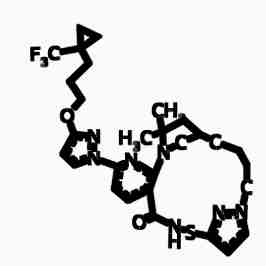 CC1(C)CC2CCCCn3ccc(n3)SNC(=O)c3ccc(-n4ccc(OCCCC5(C(F)(F)F)CC5)n4)nc3N1C2